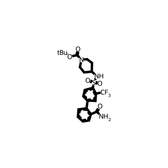 CC(C)(C)OC(=O)N1CCC(NS(=O)(=O)c2ccc(-c3ccccc3C(N)=O)cc2C(F)(F)F)CC1